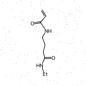 C=CC(=O)NCCCC(=O)NCC